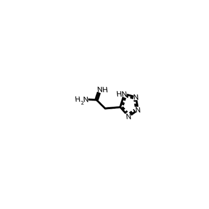 N=C(N)Cc1nnn[nH]1